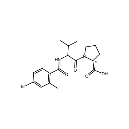 Cc1cc(Br)ccc1C(=O)NC(C(=O)N1CCC[C@H]1C(=O)O)C(C)C